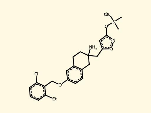 CCc1cccc(Cl)c1COc1ccc2c(c1)CCC(N)(Cc1cc(O[Si](C)(C)C(C)(C)C)no1)C2